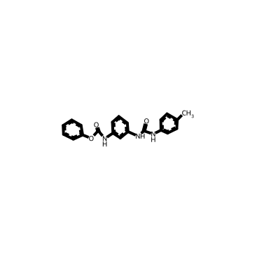 Cc1ccc(NC(=O)Nc2cccc(NC(=O)Oc3ccccc3)c2)cc1